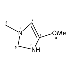 COC1=[C]N(C)CN1